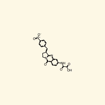 O=C(O)C(=O)Nc1ccc2c(=O)n3c(nc2c1)/C(=C/c1ccc([N+](=O)[O-])cc1)CC3